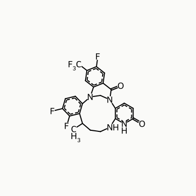 CC1CCNc2[nH]c(=O)ccc2N2CN(c3cc(C(F)(F)F)c(F)cc3C2=O)c2ccc(F)c(F)c21